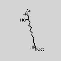 CCCCCCCCNCCCCCCCCCC(O)CN(C)C(C)=O